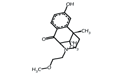 COCCN1CC[C@@]2(C)c3cc(O)ccc3C(=O)C1[C@@H]2C